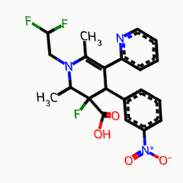 CC1=C(c2ccccn2)C(c2cccc([N+](=O)[O-])c2)C(F)(C(=O)O)C(C)N1CC(F)F